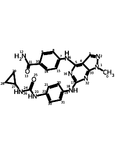 Cn1ncc2c(Nc3ccc(C(N)=O)cc3)nc(Nc3ccc(NC(=O)NC4CC4)cc3)nc21